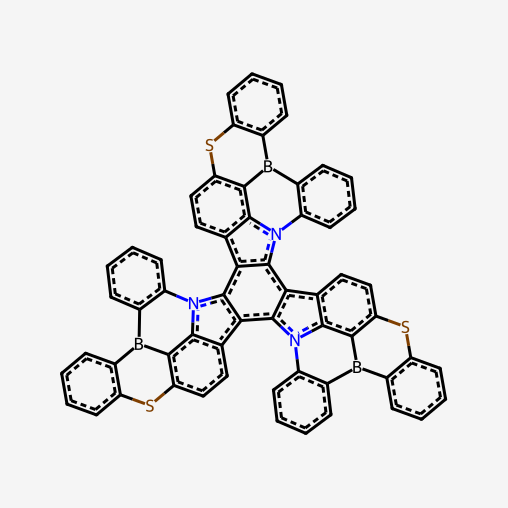 c1ccc2c(c1)Sc1ccc3c4c(c5c6ccc7c8c6n(c5c5c6ccc9c%10c6n(c45)-c4ccccc4B%10c4ccccc4S9)-c4ccccc4B8c4ccccc4S7)n4c3c1B2c1ccccc1-4